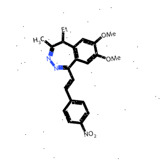 CCC1C(C)=NN=C(C=Cc2ccc([N+](=O)[O-])cc2)c2cc(OC)c(OC)cc21